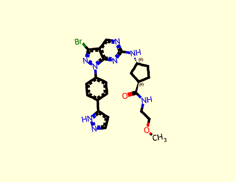 COCCNC(=O)[C@@H]1CC[C@@H](Nc2ncc3c(Br)nn(-c4ccc(-c5ccn[nH]5)cc4)c3n2)C1